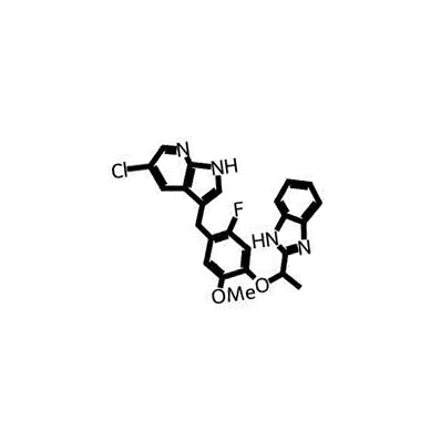 COc1cc(Cc2c[nH]c3ncc(Cl)cc23)c(F)cc1OC(C)c1nc2ccccc2[nH]1